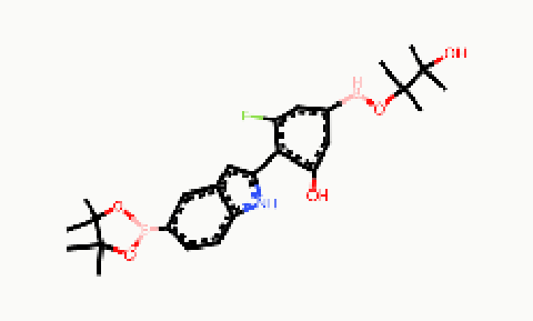 CC(C)(O)C(C)(C)OBc1cc(O)c(-c2cc3cc(B4OC(C)(C)C(C)(C)O4)ccc3[nH]2)c(F)c1